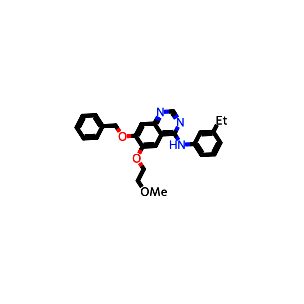 CCc1cccc(Nc2ncnc3cc(OCc4ccccc4)c(OCCOC)cc23)c1